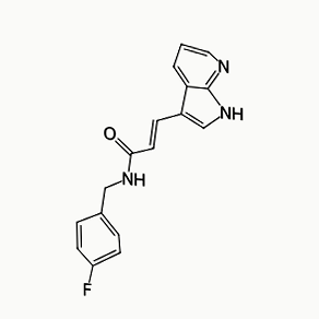 O=C(/C=C/c1c[nH]c2ncccc12)NCc1ccc(F)cc1